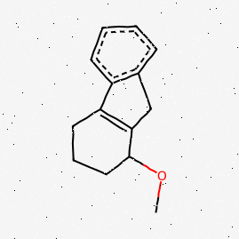 COC1CCCC2=C1Cc1ccccc12